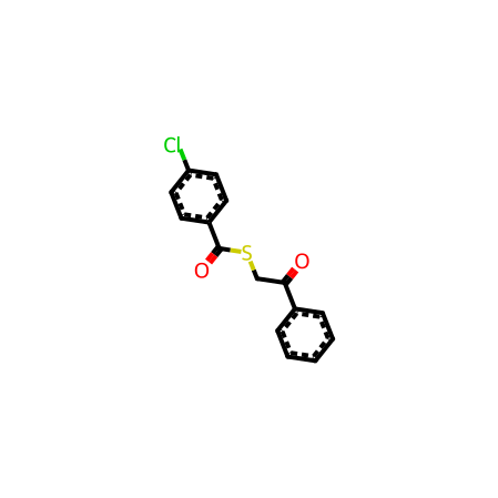 O=C(CSC(=O)c1ccc(Cl)cc1)c1ccccc1